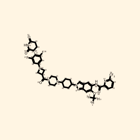 [2H]C([2H])([2H])Oc1cc2nn(C3CCC(N4CCN(C(=O)C5CN(c6cc(F)c([C@H]7CCC(=O)NC7=O)c(F)c6)C5)CC4)CC3)cc2cc1NC(=O)c1cccc(C(F)(F)F)n1